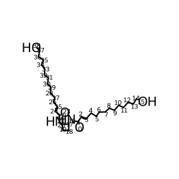 O=C(/C=C/CCCCCCCCCCCO)N[C@@H]1CC[C@H]1NC(=O)/C=C/CCCCCCCCCCCCO